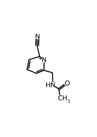 CC(=O)NCc1cccc(C#N)n1